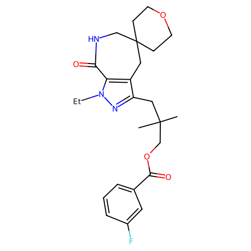 CCn1nc(CC(C)(C)COC(=O)c2cccc(F)c2)c2c1C(=O)NCC1(CCOCC1)C2